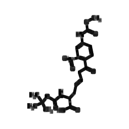 COC(=O)Nc1ccc(C(=O)CC=CCC(NC(=O)OC(C)(C)C)C(=O)O)c([N+](=O)[O-])c1